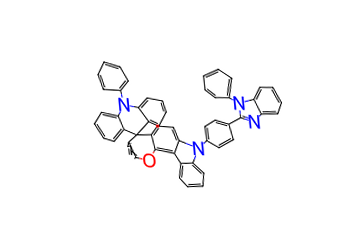 c1ccc(N2c3ccccc3C3(c4ccccc4Oc4c3ccc3c4c4ccccc4n3-c3ccc(-c4nc5ccccc5n4-c4ccccc4)cc3)c3ccccc32)cc1